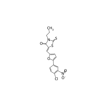 CCCN1C(=O)C(=Cc2ccc(-c3ccc(Cl)c([N+](=O)[O-])c3)o2)SC1=S